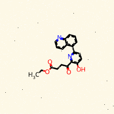 CCOC(=O)CCC(=O)c1nc(-c2cccc3ncccc23)ccc1O